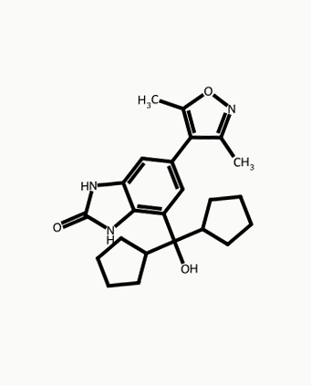 Cc1noc(C)c1-c1cc(C(O)(C2CCCC2)C2CCCC2)c2[nH]c(=O)[nH]c2c1